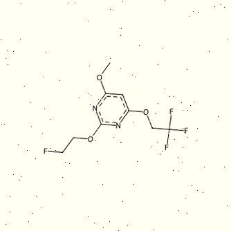 COc1cc(OCC(F)(F)F)nc(OCCF)n1